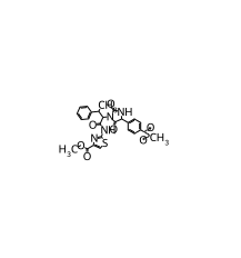 COC(=O)c1csc(NC(=O)C(C(C)c2ccccc2)N2C(=O)NC(c3ccc(S(C)(=O)=O)cc3)C2=O)n1